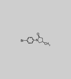 C[C@@H]1CC(=O)N(c2ccc(Br)cc2)C1